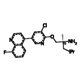 CC(C)C[C@](C)(N)COc1ncc(-c2ccnc3c(F)cccc23)cc1Cl